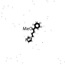 COC(CCCn1ccnc1)c1ccccc1